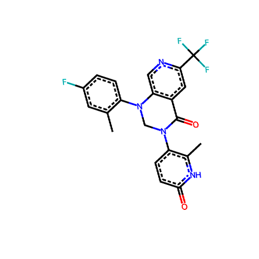 Cc1cc(F)ccc1N1CN(c2ccc(=O)[nH]c2C)C(=O)c2cc(C(F)(F)F)ncc21